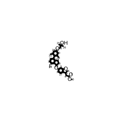 COC(=O)CC1COc2cc(O[C@@H]3CCc4c(-c5c(C)cc(OCC(C)(C)O)cc5C)ccc(F)c43)ccc21